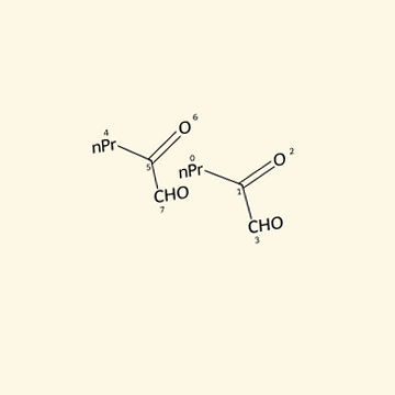 CCCC(=O)C=O.CCCC(=O)C=O